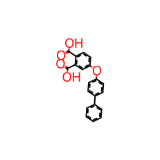 O=C(O)c1ccc(Oc2ccc(-c3ccccc3)cc2)cc1C(=O)O